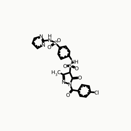 CC1=NN(C(=O)c2ccc(Cl)cc2)C(=O)C1S(=O)(=O)Nc1ccc(S(=O)(=O)Nc2ncccn2)cc1